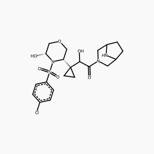 O=C(C(O)C1([C@H]2COC[C@@H](O)N2S(=O)(=O)c2ccc(Cl)cc2)CC1)N1CC2CCC(C1)N2